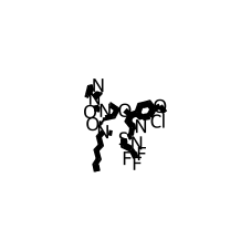 C=CCCCCN(C)C(=O)[C@@H]1C[C@H](Oc2cc(-c3nc(C(F)(F)F)cs3)nc3c(Cl)c(OC)ccc23)CN1C(=O)n1ccnc1